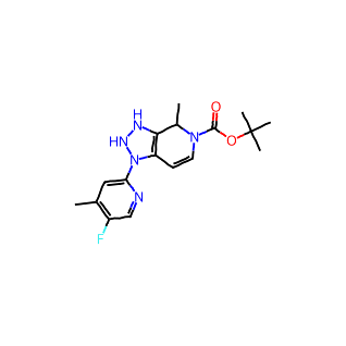 Cc1cc(N2NNC3=C2C=CN(C(=O)OC(C)(C)C)C3C)ncc1F